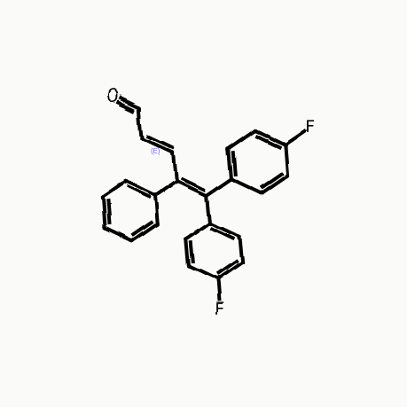 O=C/C=C/C(=C(c1ccc(F)cc1)c1ccc(F)cc1)c1ccccc1